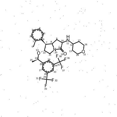 Cc1ccccc1[C@H]1C2CC(NC3CCOCC3)C(=O)N2C[C@@H]1O[C@H](C)c1cc(C(F)(F)F)cc(C(F)(F)F)c1